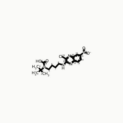 CC(C)(C)N(CCCCNc1nc2ccc([N+](=O)[O-])cc2nc1Cl)C(=O)O